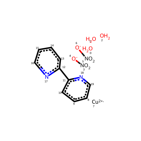 O.O.O.O=[N+]([O-])[O-].O=[N+]([O-])[O-].[Cu+2].c1ccc(-c2ccccn2)nc1